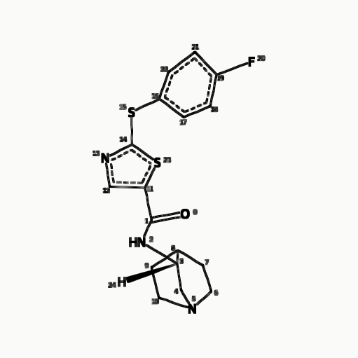 O=C(N[C@H]1CN2CCC1CC2)c1cnc(Sc2ccc(F)cc2)s1